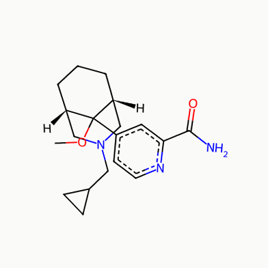 COC1(c2ccnc(C(N)=O)c2)[C@@H]2CCC[C@H]1CN(CC1CC1)C2